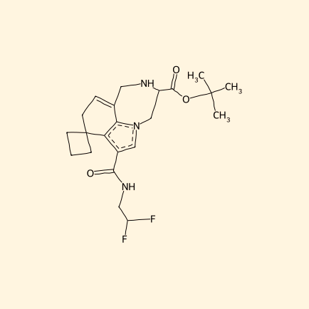 CC(C)(C)OC(=O)C1Cn2cc(C(=O)NCC(F)F)c3c2C(=CCC32CCC2)CN1